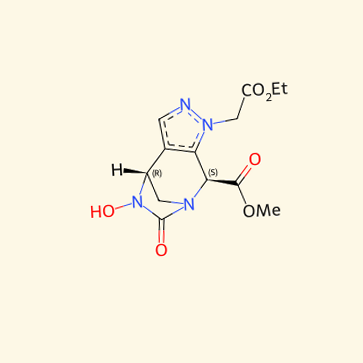 CCOC(=O)Cn1ncc2c1[C@@H](C(=O)OC)N1C[C@@H]2N(O)C1=O